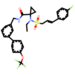 CCN(C1(C(=O)NCc2cccc(-c3ccc(OC(F)(F)F)cc3)c2)CC1)S(=O)(=O)CC=Cc1ccc(F)cc1